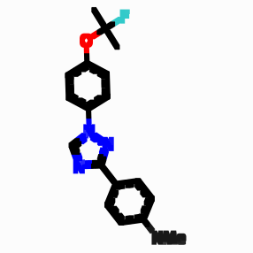 CNc1ccc(-c2ncn(-c3ccc(OC(C)(C)F)cc3)n2)cc1